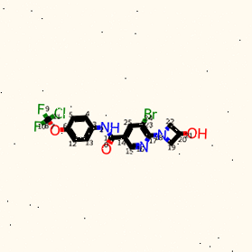 O=C(Nc1ccc(OC(F)(F)Cl)cc1)c1cnc(N2CC(O)C2)c(Br)c1